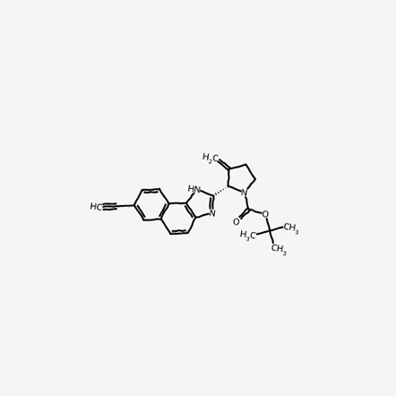 C#Cc1ccc2c(ccc3nc([C@@H]4C(=C)CCN4C(=O)OC(C)(C)C)[nH]c32)c1